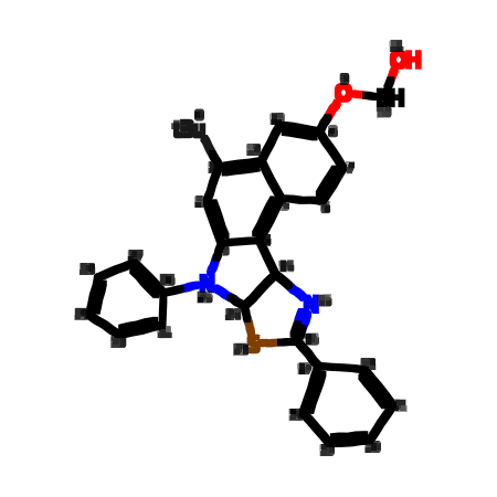 CC(C)(C)c1cc2c(c3ccc(OBO)cc13)C1N=C(c3ccccc3)SC1N2c1ccccc1